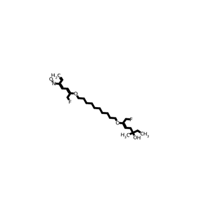 C=C/C(=C\C=C(/CF)OCCCCCCCCCCO/C(=C/CC(C)(O)CC)CF)N=O